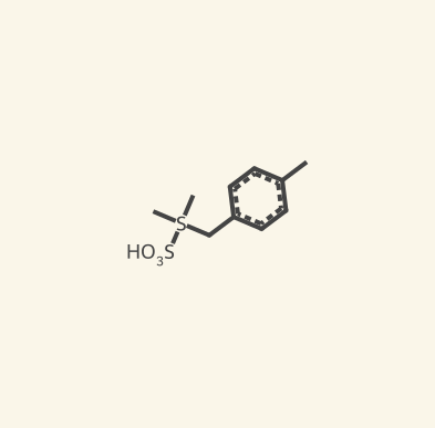 Cc1ccc(CS(C)(C)S(=O)(=O)O)cc1